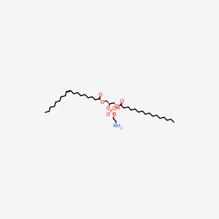 CCCCCCCC/C=C\CCCCCCCC(=O)OC[C@@H](COC(=O)CCCCCCCCCCCCCCC)OP(=O)(O)OCCN